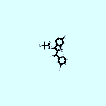 CC(C)(O)C(=O)Nc1c(C(=O)c2cc(Cl)ccn2)[nH]c2cc(Cl)ccc12